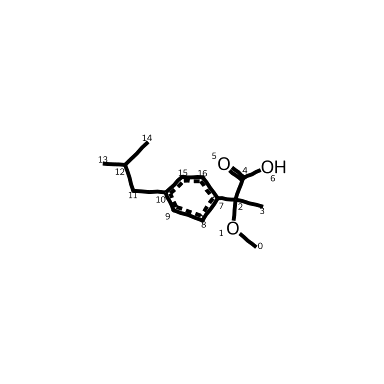 COC(C)(C(=O)O)c1ccc(CC(C)C)cc1